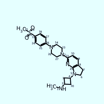 CN[C@H]1C[C@@H](N2CCc3ccc(N4CCN(c5ccc(S(C)(=O)=O)cc5)CC4)nc32)C1